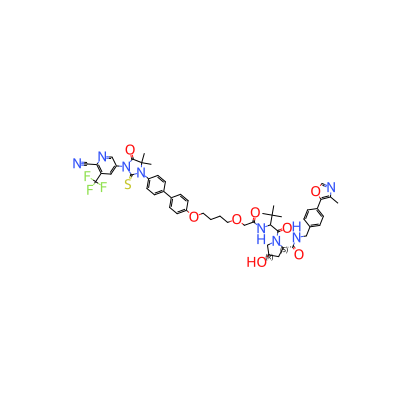 Cc1ncoc1-c1ccc(CNC(=O)[C@@H]2C[C@@H](O)CN2C(=O)C(NC(=O)COCCCCOc2ccc(-c3ccc(N4C(=S)N(c5cnc(C#N)c(C(F)(F)F)c5)C(=O)C4(C)C)cc3)cc2)C(C)(C)C)cc1